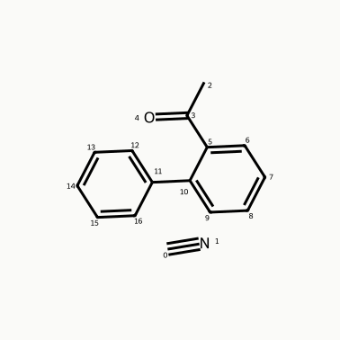 C#N.CC(=O)c1ccccc1-c1ccccc1